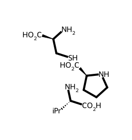 CC(C)[C@H](N)C(=O)O.N[C@@H](CS)C(=O)O.O=C(O)[C@@H]1CCCN1